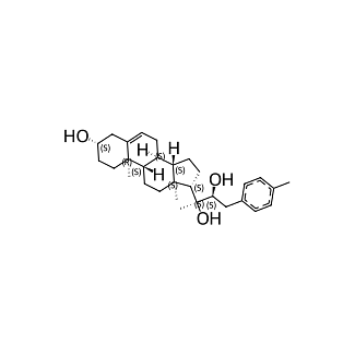 Cc1ccc(C[C@H](O)[C@@](C)(O)[C@H]2CC[C@H]3[C@@H]4CC=C5C[C@@H](O)CC[C@]5(C)[C@H]4CC[C@]23C)cc1